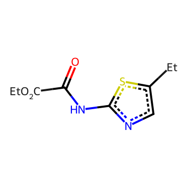 CCOC(=O)C(=O)Nc1ncc(CC)s1